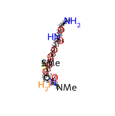 CNCCN(P)C(=O)c1cccc(OCC(OCCOCCOCCCC(=O)NCCOCC#CN)SSC)c1